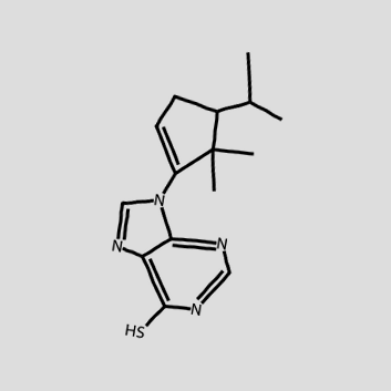 CC(C)C1CC=C(n2cnc3c(S)ncnc32)C1(C)C